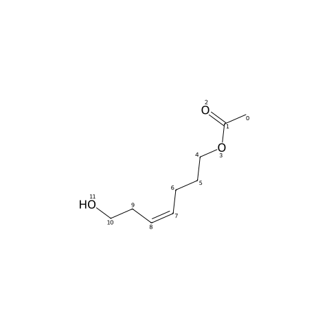 CC(=O)OCCC/C=C\CCO